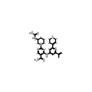 C=C(C)c1cc(Nc2nc(N3CCCC(NC(=O)O)C3)ncc2C(N)=O)cc(C2=CCOCC2)n1